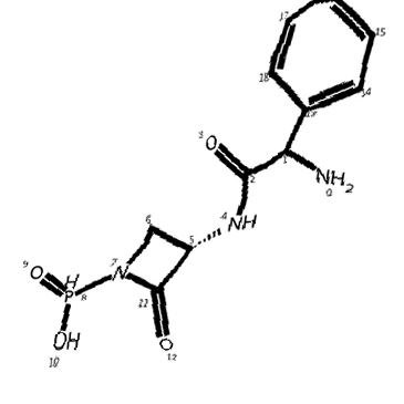 NC(C(=O)N[C@H]1CN([PH](=O)O)C1=O)c1ccccc1